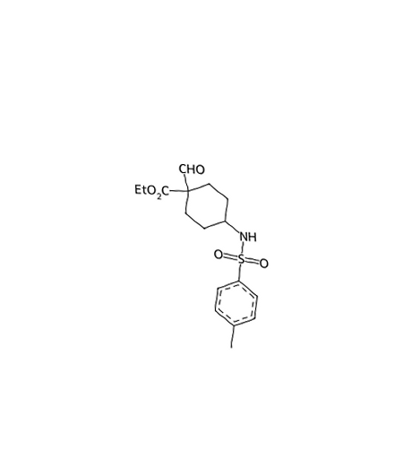 CCOC(=O)C1(C=O)CCC(NS(=O)(=O)c2ccc(C)cc2)CC1